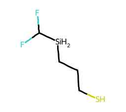 FC(F)[SiH2]CCCS